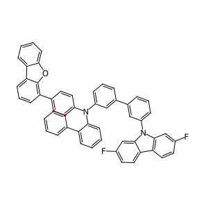 Fc1ccc2c3ccc(F)cc3n(-c3cccc(-c4cccc(N(c5ccc(-c6cccc7c6oc6ccccc67)cc5)c5ccccc5-c5ccccc5)c4)c3)c2c1